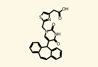 O=C(O)Cc1csc(Cn2cc(C3c4ccccc4C=Cc4ccccc43)c(=O)[nH]c2=O)n1